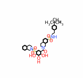 CC(C)(C)c1ccc(CCNS(=O)(=O)c2ccc3c(c2)CN(C(=O)c2cc(S(=O)(=O)N4CCc5ccccc5C4)c(O)c(O)c2O)CC3)cc1